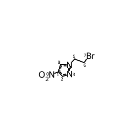 O=[N+]([O-])c1cnn(CCBr)c1